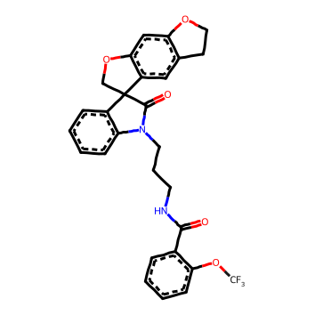 O=C(NCCCN1C(=O)C2(COc3cc4c(cc32)CCO4)c2ccccc21)c1ccccc1OC(F)(F)F